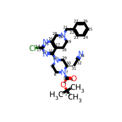 CC(C)(C)OC(=O)N1CCN(c2nc(Cl)nc3c2CCN(Cc2ccccc2)C3)C[C@@H]1CC#N